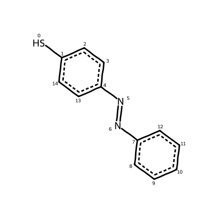 Sc1ccc(/N=N/c2ccccc2)cc1